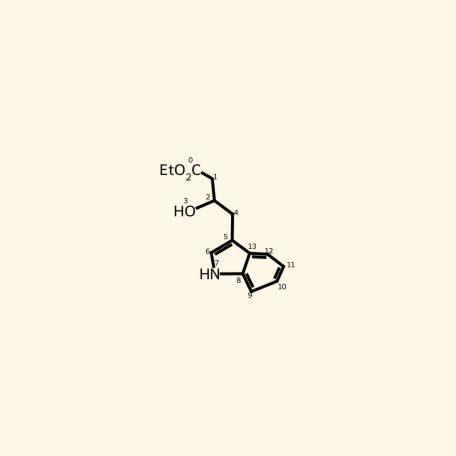 CCOC(=O)CC(O)Cc1c[nH]c2ccccc12